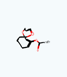 CCCC(=O)OC1CCCCC12OCCO2